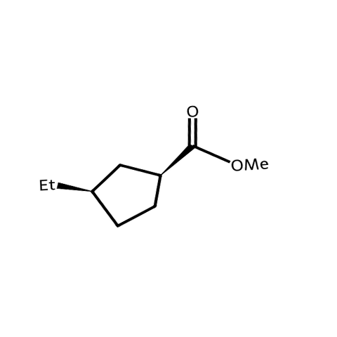 CC[C@@H]1CC[C@H](C(=O)OC)C1